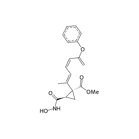 C=C(/C=C\C=C(/C)[C@@]1(C(=O)OC)C[C@H]1C(=O)NO)Oc1ccccc1